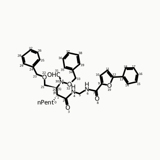 CCCCC[C@@H](C(=O)NCNC(=O)c1ccc(-c2ccccc2)o1)[C@@H](COCc1ccccc1)N(C=O)OCc1ccccc1